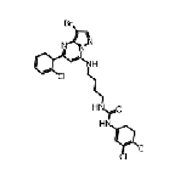 O=C(NCCCCNc1cc(C2CC=CC=C2Cl)nc2c(Br)cnn12)NC1=CC(Cl)=C(Cl)CC1